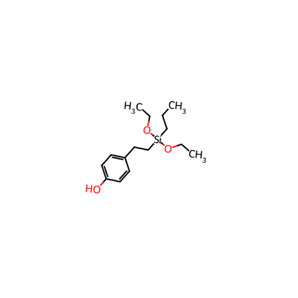 CCC[Si](CCc1ccc(O)cc1)(OCC)OCC